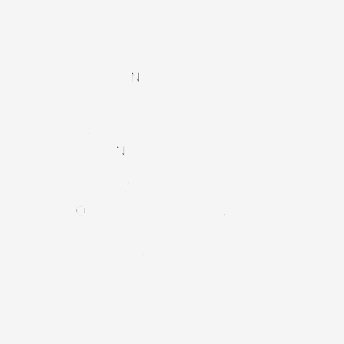 Cc1cc(C(=O)N2CCN(C)CC2)ccc1C(C)C